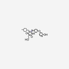 CC1CCC(Cn2c(=O)n(CCO)c(=O)[nH]/c2=N\c2ccc(Oc3ccnc(O)c3)cc2)CC1